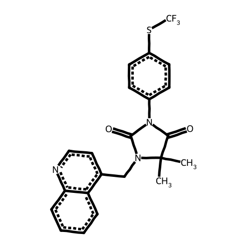 CC1(C)C(=O)N(c2ccc(SC(F)(F)F)cc2)C(=O)N1Cc1ccnc2ccccc12